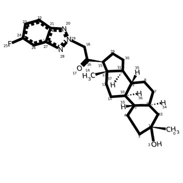 C[C@@]1(O)CC[C@H]2[C@@H](CC[C@@H]3[C@@H]2CC[C@]2(C)[C@@H](C(=O)Cn4nc5ccc(F)cc5n4)CC[C@@H]32)C1